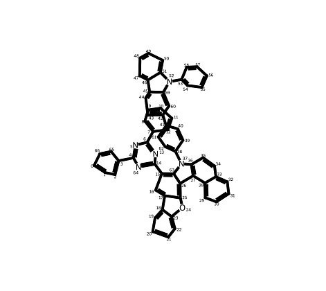 c1ccc(-c2nc(-c3ccccc3)nc(-c3cc4c5ccccc5oc4c4c5c6ccccc6ccc5n(-c5ccc(-c6ccc7c8ccccc8n(-c8ccccc8)c7c6)cc5)c34)n2)cc1